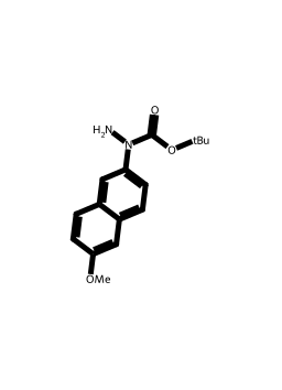 COc1ccc2cc(N(N)C(=O)OC(C)(C)C)ccc2c1